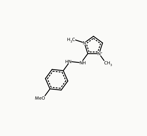 COc1ccc(NNc2n(C)cc[n+]2C)cc1